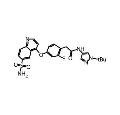 CC(C)(C)n1cc(NC(=O)Cc2ccc(Oc3ccnc4ccc(S(N)(=O)=O)cc34)cc2F)cn1